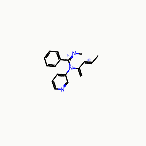 C=C(/C=C/C)N(/C(=N\C)c1ccccc1)c1cccnc1